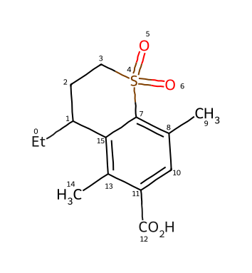 CCC1CCS(=O)(=O)c2c(C)cc(C(=O)O)c(C)c21